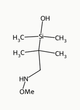 CONCC(C)(C)[Si](C)(C)O